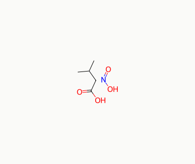 CC(C)CC(=O)O.O=NO